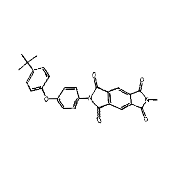 Cn1c(=O)c2cc3c(=O)n(-c4ccc(Oc5ccc(C(C)(C)C)cc5)cc4)c(=O)c3cc2c1=O